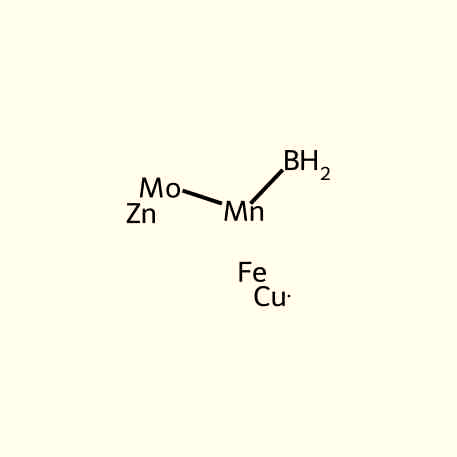 [BH2][Mn][Mo].[Cu].[Fe].[Zn]